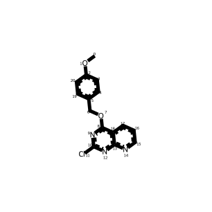 COc1ccc(COc2nc(Cl)nc3ncccc23)cc1